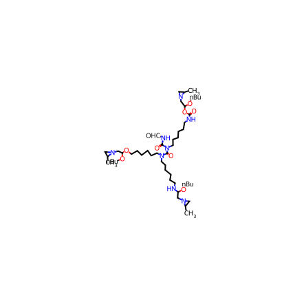 CCCCOC(CN1CC1C)NCCCCCCN(CCCCCCOC(CN1CC1C)OCCCC)C(=O)N(CCCCCCNC(=O)OC(CN1CC1C)OCCCC)C(=O)NC=O